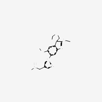 CNCc1cnn(-c2cc3c(cc2OC)[C@]2(CCOC2)C(NC)=N3)c1